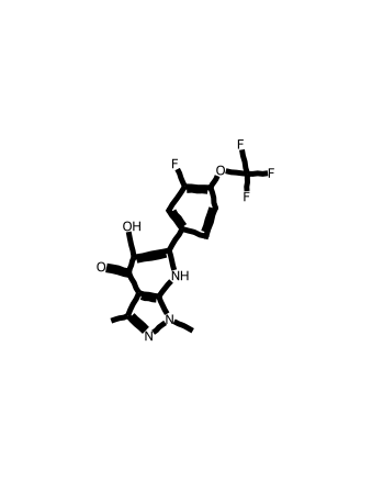 Cc1nn(C)c2[nH]c(-c3ccc(OC(F)(F)F)c(F)c3)c(O)c(=O)c12